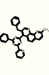 Cc1ccc2ccc3c(-c4nc(-c5ccccc5)nc(-c5ccccn5)n4)c(Cc4cc#ccc4)cnc3c2n1